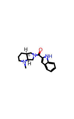 CN1CCC[C@H]2CN(C(=O)c3cc4ccccc4[nH]3)C[C@H]21